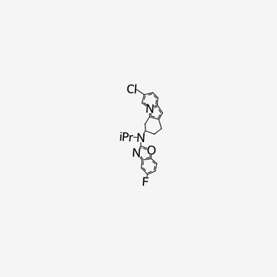 CC(C)N(c1nc2cc(F)ccc2o1)C1CCc2cc3ccc(Cl)cn3c2C1